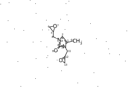 Cc1cn(CC2CO2)c(=O)n1CC1CO1